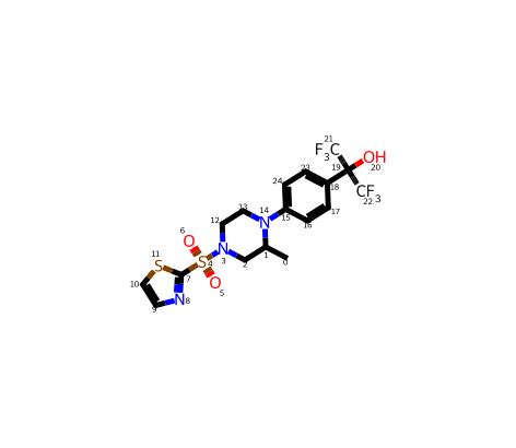 CC1CN(S(=O)(=O)c2nccs2)CCN1c1ccc(C(O)(C(F)(F)F)C(F)(F)F)cc1